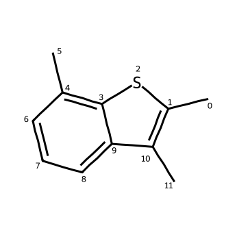 Cc1sc2c(C)cccc2c1C